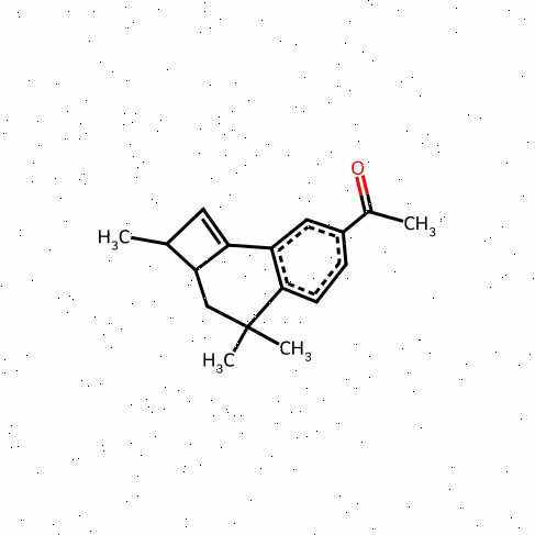 CC(=O)c1ccc2c(c1)C1=CC(C)C1CC2(C)C